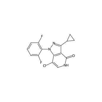 O=c1[nH]cc(Cl)c2c1c(C1CC1)nn2-c1c(F)cccc1F